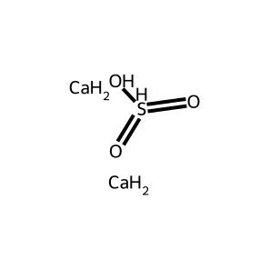 O=[SH](=O)O.[CaH2].[CaH2]